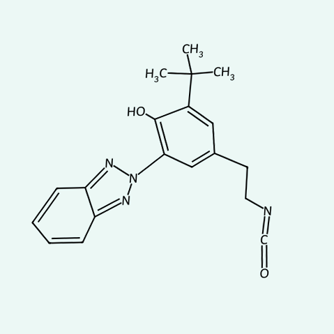 CC(C)(C)c1cc(CCN=C=O)cc(-n2nc3ccccc3n2)c1O